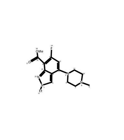 CCn1cc2c(N3CCN(C)CC3)cc(F)c(C(=O)OC)c2n1